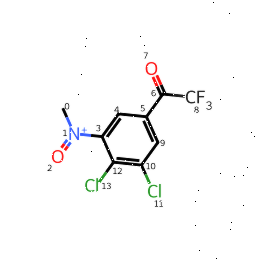 C[N+](=O)c1cc(C(=O)C(F)(F)F)cc(Cl)c1Cl